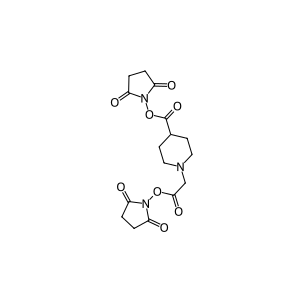 O=C(CN1CCC(C(=O)ON2C(=O)CCC2=O)CC1)ON1C(=O)CCC1=O